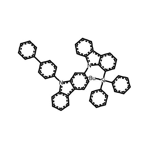 CC(C)(C)[Si](c1ccccc1)(c1ccccc1)c1cccc2c3ccccc3n(-c3ccc4c5ccccc5n(-c5ccc(-c6ccccc6)cc5)c4c3)c12